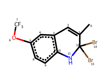 CC1=Cc2cc(OC(F)(F)F)ccc2NC1(Br)Br